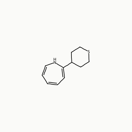 C1=CC=C(C2CCSCC2)NC=C1